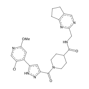 COc1cc(-c2cc(C(=O)N3CCC(C(=O)NCc4ncc5c(n4)CCC5)CC3)n[nH]2)c(Cl)cn1